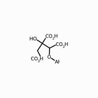 O=C(O)CC(O)(C(=O)O)C([O][Al])C(=O)O